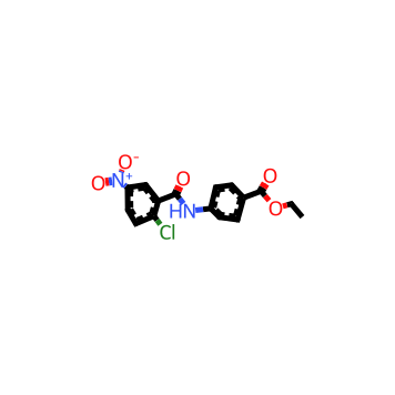 CCOC(=O)c1ccc(NC(=O)c2cc([N+](=O)[O-])ccc2Cl)cc1